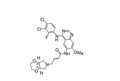 COc1cc2ncnc(Nc3ccc(Cl)c(Cl)c3F)c2cc1NC(=O)C=CCN1C[C@@H]2OCCO[C@@H]2C1